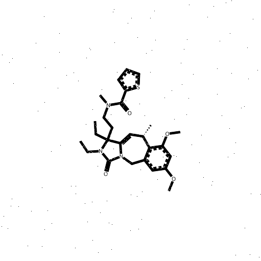 CCN1C(=O)N2Cc3cc(OC)cc(OC)c3[C@@H](C)C=C2C1(CC)CCN(C)C(=O)c1cccs1